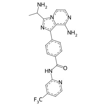 CC(N)c1nc(-c2ccc(C(=O)Nc3cc(C(F)(F)F)ccn3)cc2)c2c(N)nccn12